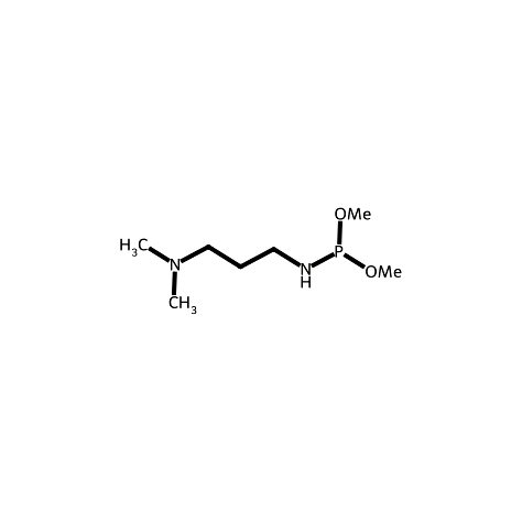 COP(NCCCN(C)C)OC